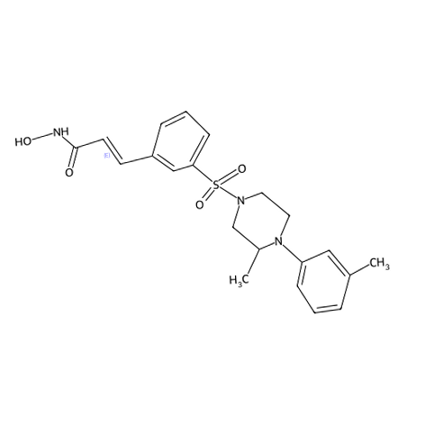 Cc1cccc(N2CCN(S(=O)(=O)c3cccc(/C=C/C(=O)NO)c3)CC2C)c1